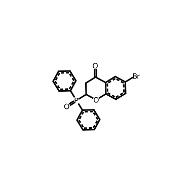 O=C1CC(P(=O)(c2ccccc2)c2ccccc2)Oc2ccc(Br)cc21